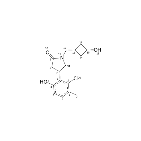 Cc1ccc(O)c([C@@H]2CC(=O)N(C[C@H]3C[C@@H](O)C3)C2)c1Cl